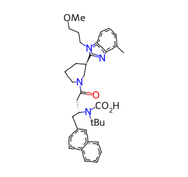 COCCCn1c([C@@H]2CCCN(C(=O)C[C@@H](Cc3ccc4ccccc4c3)N(C(=O)O)C(C)(C)C)C2)nc2c(C)cccc21